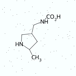 CC1CC(CNC(=O)O)CN1